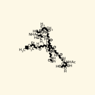 CCC(COC1CC(C)C1)CC(C)CNC(=O)CCCC(=O)NC(CCC(=O)NCCCNC(=O)CNCOC1OC(CO)C(O)C(O)C1NC(C)=O)(CCC(=O)NCCCNC(=O)C(C)C)CCC(=O)NCCCNC(=O)C(C)(C)CC(C)COC(OC(CO)[C@@H](C)O)[C@H](O)NC(C)=O